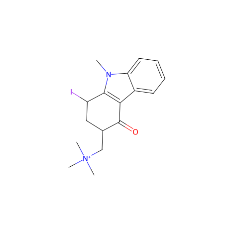 Cn1c2c(c3ccccc31)C(=O)C(C[N+](C)(C)C)CC2I